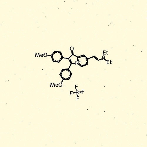 CCN(C=Cc1cc[n+]2c(c1)C(=O)C(c1ccc(OC)cc1)=C2c1ccc(OC)cc1)CC.F[B-](F)(F)F